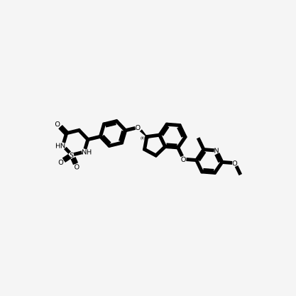 COc1ccc(Oc2cccc3c2CC[C@H]3Oc2ccc(C3CC(=O)NS(=O)(=O)N3)cc2)c(C)n1